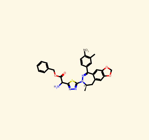 Cc1cc(C2=NN(c3nnc(C(N)C(=O)OCc4ccccc4)s3)[C@H](C)Cc3cc4c(cc32)OCO4)ccc1[N+](=O)[O-]